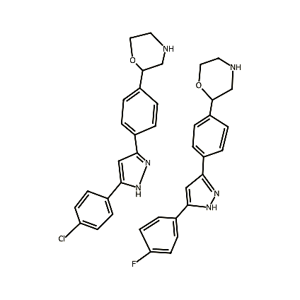 Clc1ccc(-c2cc(-c3ccc(C4CNCCO4)cc3)n[nH]2)cc1.Fc1ccc(-c2cc(-c3ccc(C4CNCCO4)cc3)n[nH]2)cc1